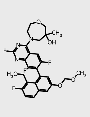 CCc1c(F)ccc2cc(OCOC)cc(-c3c(F)cc4c(N5CCOCC(C)(O)C5)nc(F)nc4c3F)c12